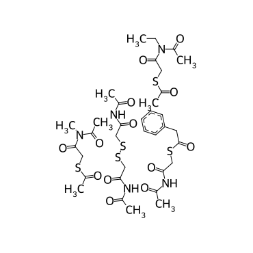 CC(=O)NC(=O)CSC(=O)Cc1ccccc1.CC(=O)NC(=O)CSSCC(=O)NC(C)=O.CC(=O)SCC(=O)N(C)C(C)=O.CCN(C(C)=O)C(=O)CSC(C)=O